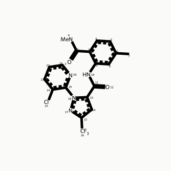 CNC(=O)c1ccc(C)cc1NC(=O)c1cc(C(F)(F)F)nn1-c1ncccc1Cl